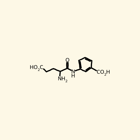 NC(CCC(=O)O)C(=O)Nc1cccc(C(=O)O)c1